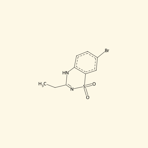 CCC1=NS(=O)(=O)c2cc(Br)ccc2N1